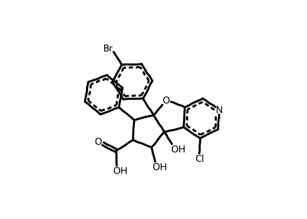 O=C(O)C1C(O)C2(O)c3c(Cl)cncc3OC2(c2ccc(Br)cc2)C1c1ccccc1